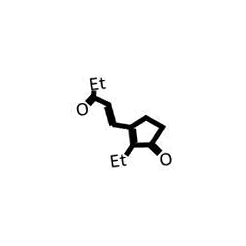 CCC(=O)/C=C/C1=C(CC)C(=O)CC1